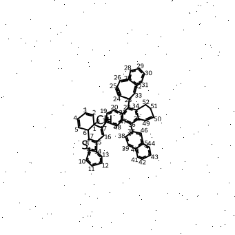 CC12C=CC=CC1c1sc3ccccc3c1C=C2c1ccc2c(C3C#CC=c4ccccc4=C3)c3c(c(-c4ccc5ccccc5c4)c2c1)C=CCC3